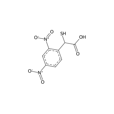 O=C(O)C(S)c1ccc([N+](=O)[O-])cc1[N+](=O)[O-]